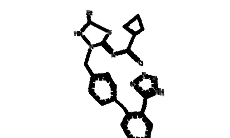 CCC1NN(Cc2ccc(-c3ccccc3-c3nnn[nH]3)cc2)C(=NC(=O)C2CCC2)S1